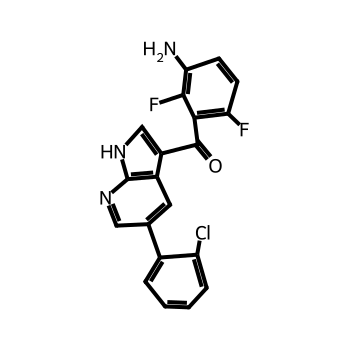 Nc1ccc(F)c(C(=O)c2c[nH]c3ncc(-c4ccccc4Cl)cc23)c1F